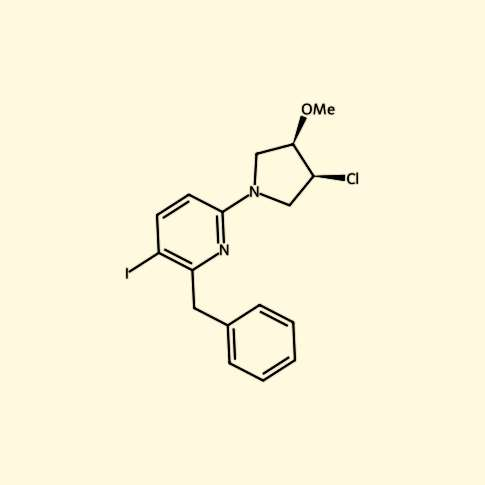 CO[C@@H]1CN(c2ccc(I)c(Cc3ccccc3)n2)C[C@@H]1Cl